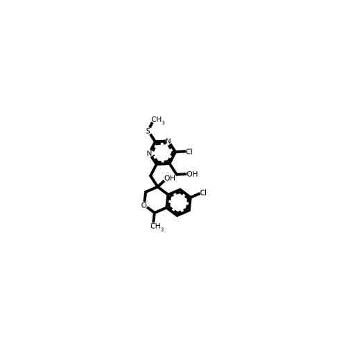 CSc1nc(Cl)c(CO)c(CC2(O)COC(C)c3ccc(Cl)cc32)n1